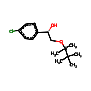 CC(C)(C)[Si](C)(C)OC[C@@H](O)c1ccc(Cl)cc1